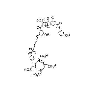 O=C(O)CN1CCN(CC(=O)O)CCN(CC(=O)O)C(Cc2ccc(NC(=S)NCCOCCOc3cc(O)cc(C(=O)NC[C@H](NC(=O)c4c(Cl)cc(C(=O)NCc5cccc(O)c5)cc4Cl)C(=O)O)c3)cc2)CN(CC(=O)O)CC1